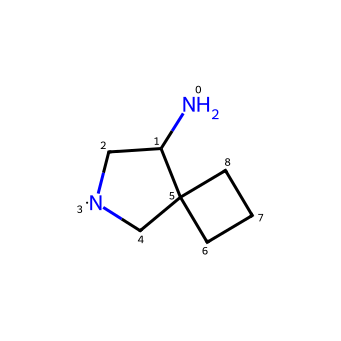 NC1C[N]CC12CCC2